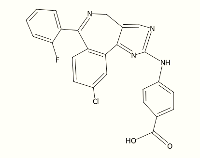 O=C(O)c1ccc(Nc2ncc3c(n2)-c2cc(Cl)ccc2C(c2ccccc2F)=NC3)cc1